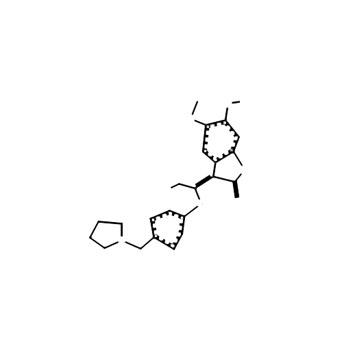 CC/C(Nc1ccc(CN2CCCC2)cc1)=C1/C(=O)Nc2cc(OC)c(OC)cc21